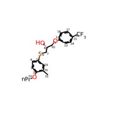 CCCOc1ccc(SC[C@H](O)COc2ccc(C(F)(F)F)cc2)cc1C